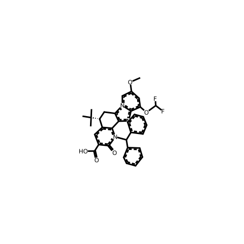 COc1cc(OC(F)F)c2nc3c(n2c1)C[C@@H](C(C)(C)C)c1cc(C(=O)O)c(=O)n(C(c2ccccc2)c2ccccc2)c1-3